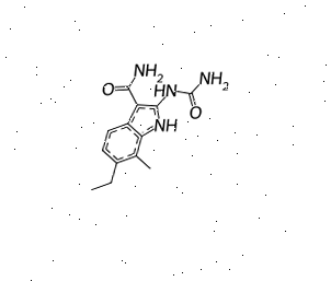 CCc1ccc2c(C(N)=O)c(NC(N)=O)[nH]c2c1C